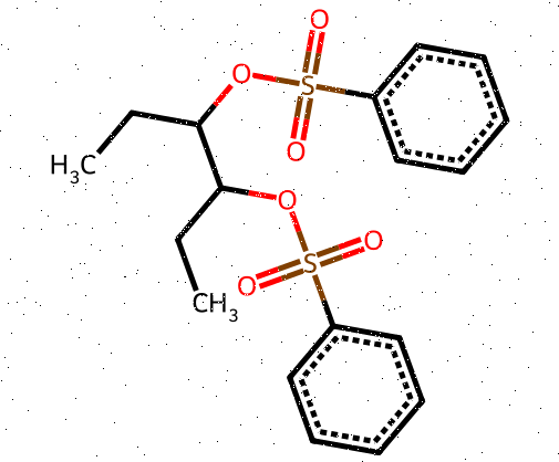 CCC(OS(=O)(=O)c1ccccc1)C(CC)OS(=O)(=O)c1ccccc1